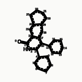 O=c1[nH]c(-c2ccccc2)c(-c2ccccc2)c2cc3ccccc3cc12